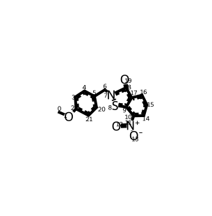 COc1ccc(Cn2sc3c([N+](=O)[O-])cccc3c2=O)cc1